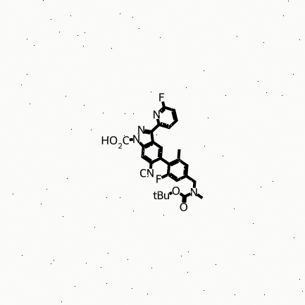 Cc1cc(CN(C)C(=O)OC(C)(C)C)cc(F)c1-c1cc2c(-c3cccc(F)n3)nn(C(=O)O)c2cc1C#N